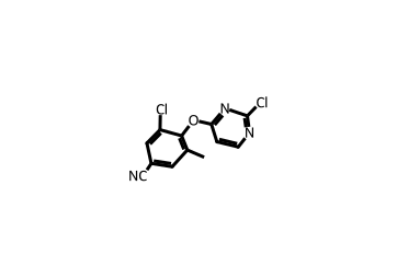 Cc1cc(C#N)cc(Cl)c1Oc1ccnc(Cl)n1